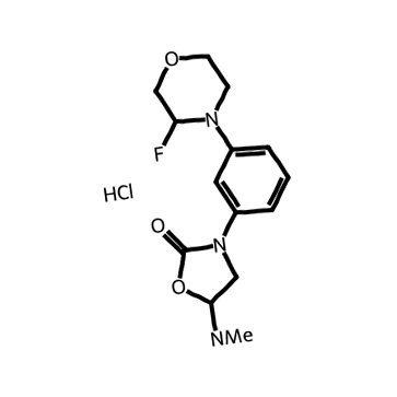 CNC1CN(c2cccc(N3CCOCC3F)c2)C(=O)O1.Cl